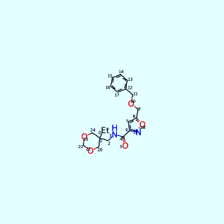 CCC1(CNC(=O)c2cc(COCc3ccccc3)on2)COCOC1